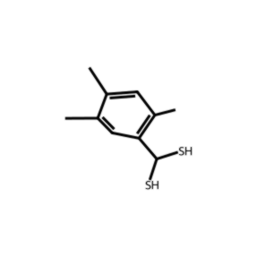 Cc1cc(C)c(C(S)S)cc1C